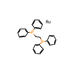 [Ru].c1ccc(P(CCP(c2ccccc2)c2ccccc2)c2ccccc2)cc1